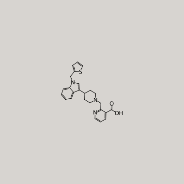 O=C(O)c1cccnc1CN1CCC(c2cn(Cc3cccs3)c3ccccc23)CC1